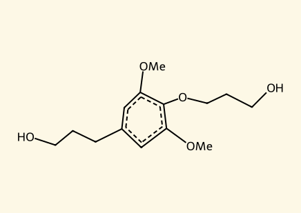 COc1cc(CCCO)cc(OC)c1OCCCO